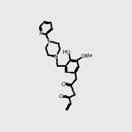 C=CC(=O)CC(=O)Cc1cc(CN2CCN(c3ccccn3)CC2)c(O)c(OC)c1